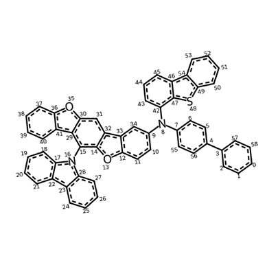 c1ccc(-c2ccc(N(c3ccc4oc5c(-n6c7ccccc7c7ccccc76)c6c(cc5c4c3)oc3ccccc36)c3cccc4c3sc3ccccc34)cc2)cc1